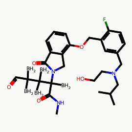 BC(B)(C=O)C(B)(B)C(B)(C(=O)NC)N1Cc2c(OCc3cc(CN(CCO)CC(C)C)ccc3F)cccc2C1=O